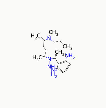 C=C(CCC(C)N(N)C(=C)c1c(N)cccc1N)N(C)CCC